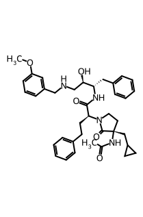 COc1cccc(CNC[C@@H](O)[C@H](Cc2ccccc2)NC(=O)[C@H](CCc2ccccc2)N2CC[C@](CC3CC3)(NC(C)=O)C2=O)c1